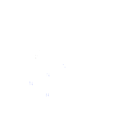 c1ccc(-c2nc(-c3ccccc3)nc(-c3cc(-c4c(-c5ccccc5)cccc4-c4ccccc4)ccc3-n3c4ccccc4c4c5c(ccc43)sc3ccccc35)n2)cc1